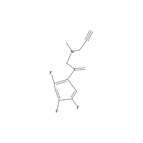 C#CCN(C)CC(=C)c1cc(F)c(F)cc1F